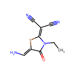 CCn1c(=C(C#N)C#N)s/c(=C\N)c1=O